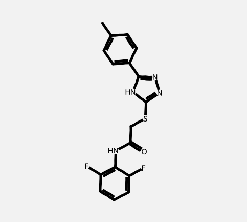 Cc1ccc(-c2nnc(SCC(=O)Nc3c(F)cccc3F)[nH]2)cc1